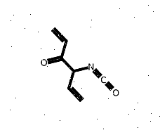 C=CC(=O)C(C=C)N=C=O